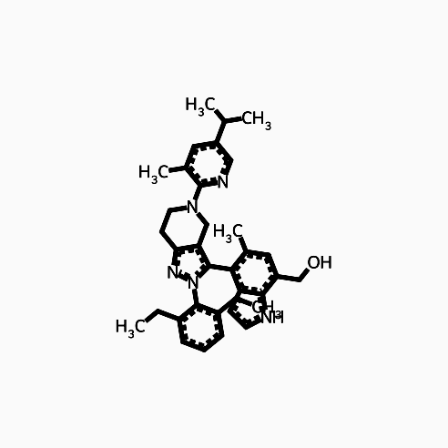 CCc1cccc(CC)c1-n1nc2c(c1-c1c(C)cc(CO)c3[nH]ccc13)CN(c1ncc(C(C)C)cc1C)CC2